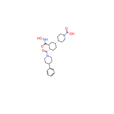 O=C(NO)[C@H]1C[C@H](C2CCN(C(=O)O)CC2)CC[C@@H]1C(=O)N1CCC(c2ccccc2)CC1